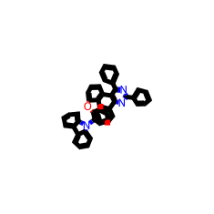 c1ccc(-c2nc(-c3ccccc3)c(-c3cccc4oc5c(-n6c7ccccc7c7ccccc76)cccc5c34)c(-c3ccccc3)n2)cc1